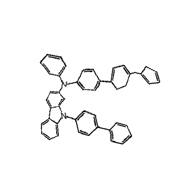 C1=CCC(C2=CC=C(c3ccc(N(c4ccccc4)c4ccc5c6ccccc6n(-c6ccc(-c7ccccc7)cc6)c5c4)cc3)CC2)=C1